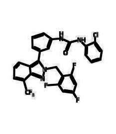 O=C(Nc1cccc(-c2c3cccc(C(F)(F)F)c3nn2Cc2c(F)cc(F)cc2F)c1)Nc1ccccc1Cl